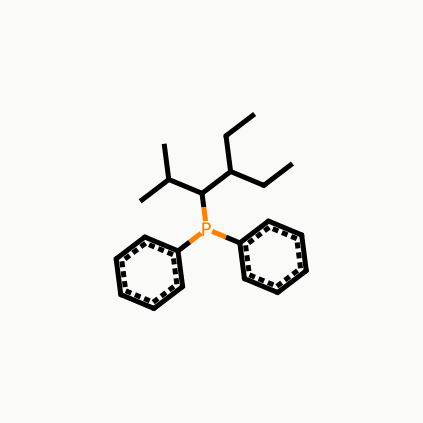 CCC(CC)C(C(C)C)P(c1ccccc1)c1ccccc1